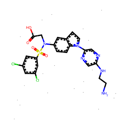 NCCNc1cnc(-n2ccc3cc(N(CC(=O)O)S(=O)(=O)c4cc(Cl)cc(Cl)c4)ccc32)cn1